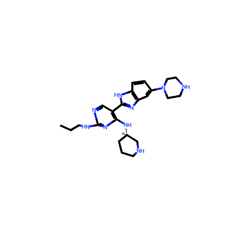 CCCNc1ncc(-c2nc3cc(N4CCNCC4)ccc3[nH]2)c(N[C@H]2CCCNC2)n1